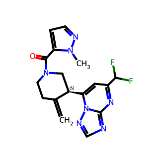 C=C1CCN(C(=O)c2ccnn2C)C[C@H]1c1cc(C(F)F)nc2ncnn12